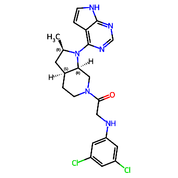 C[C@@H]1C[C@@H]2CCN(C(=O)CNc3cc(Cl)cc(Cl)c3)C[C@@H]2N1c1ncnc2[nH]ccc12